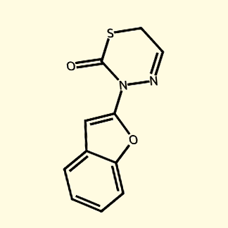 O=C1SCC=NN1c1cc2ccccc2o1